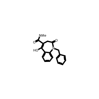 CNC(=O)C1=C(O)c2ccccc2N(Cc2ccccc2)C(=O)C1